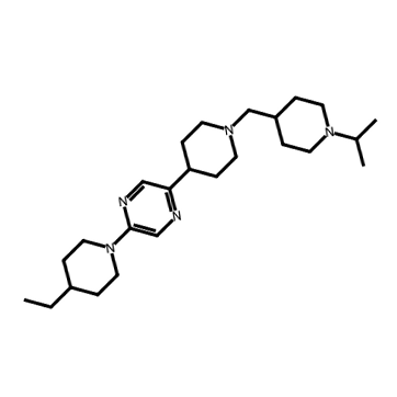 CCC1CCN(c2cnc(C3CCN(CC4CCN(C(C)C)CC4)CC3)cn2)CC1